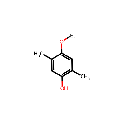 CCOc1cc(C)c(O)cc1C